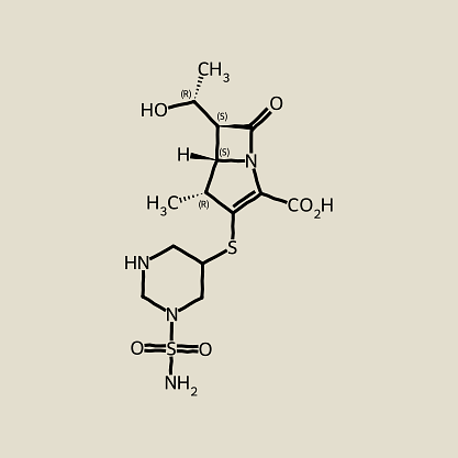 C[C@@H](O)[C@H]1C(=O)N2C(C(=O)O)=C(SC3CNCN(S(N)(=O)=O)C3)[C@H](C)[C@H]12